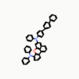 c1ccc(-c2ccc(-c3ccc(N(c4ccccc4)c4cc5c6c(cccc6c4)-c4cccc(N(c6ccccc6)c6ccccc6)c4O5)cc3)cc2)cc1